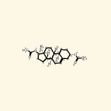 CC(=O)OC1CC[C@H]2[C@@H]3CC=C4C[C@@H](OC(C)=O)CC[C@@H]4[C@H]3CC[C@]12C